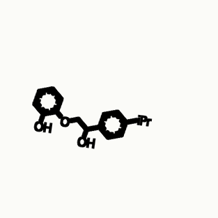 CC(C)c1ccc(C(O)COc2ccccc2O)cc1